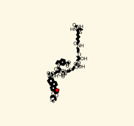 CC12CCC(OP(=O)(O)OCC3OC(n4ccc5ccc([N+](=O)[O-])cc54)CC3OP(=O)(O)OCCOCCOP(=O)(O)OCC(O)COCCCNC(=O)CCCCC3SCC4NC(=O)NC43)CC1CCC1C2CCC2(C)C1CCC21OC2CSSCC2O1